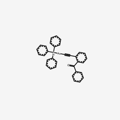 O=C(c1ccccc1)c1ccccc1C#[C][Au][PH](c1ccccc1)(c1ccccc1)c1ccccc1